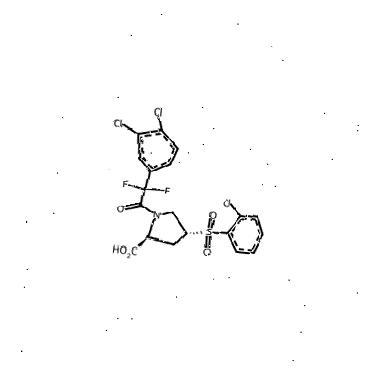 O=C(O)[C@@H]1C[C@@H](S(=O)(=O)c2ccccc2Cl)CN1C(=O)C(F)(F)c1ccc(Cl)c(Cl)c1